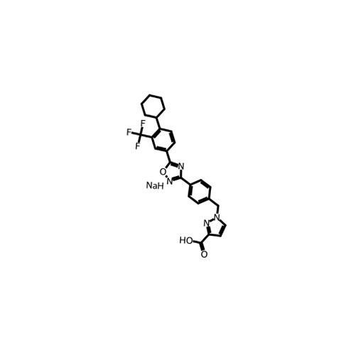 O=C(O)c1ccn(Cc2ccc(-c3noc(-c4ccc(C5CCCCC5)c(C(F)(F)F)c4)n3)cc2)n1.[NaH]